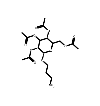 CC(=O)OCC1O[C@@H](OCCCN)[C@@H](OC(C)=O)C(OC(C)=O)[C@H]1OC(C)=O